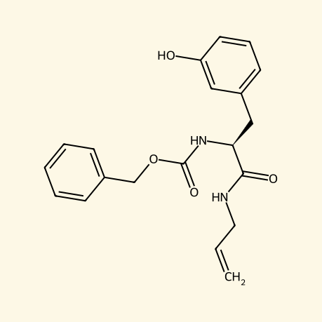 C=CCNC(=O)[C@H](Cc1cccc(O)c1)NC(=O)OCc1ccccc1